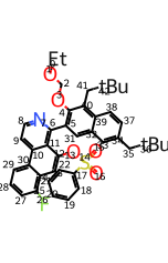 CCOCOc1c(-c2nccc3c2c(OS(=O)(=O)c2ccccc2)cc2c(F)cccc23)cc2cc(CC(C)(C)C)ccc2c1CC(C)(C)C